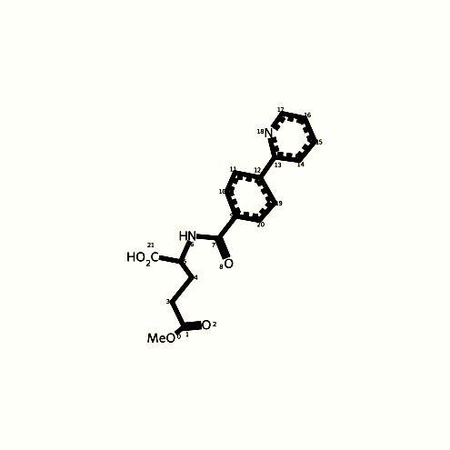 COC(=O)CCC(NC(=O)c1ccc(-c2ccccn2)cc1)C(=O)O